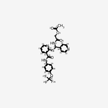 CC(=O)OCC(=O)NC(Sc1ncccc1C(=O)Nc1ccc(OC(F)(F)F)cc1)c1ccncc1